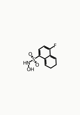 O=S(=O)(NO)c1ccc(F)c2c1=CCCC=2